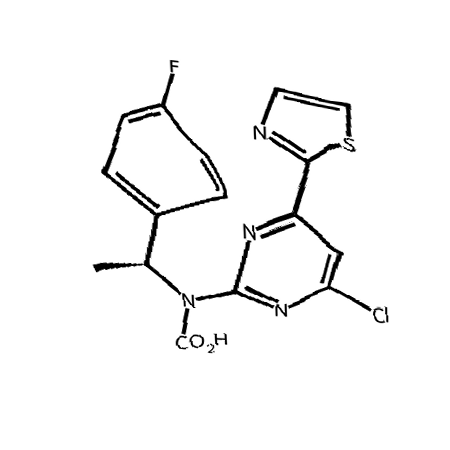 C[C@@H](c1ccc(F)cc1)N(C(=O)O)c1nc(Cl)cc(-c2nccs2)n1